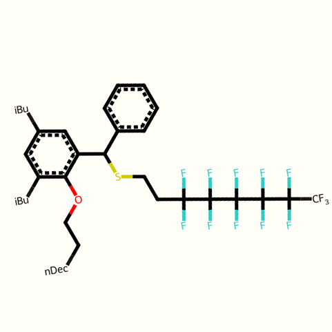 CCCCCCCCCCCCOc1c(C(C)CC)cc(C(C)CC)cc1C(SCCC(F)(F)C(F)(F)C(F)(F)C(F)(F)C(F)(F)C(F)(F)F)c1ccccc1